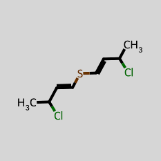 CC(Cl)C=CSC=CC(C)Cl